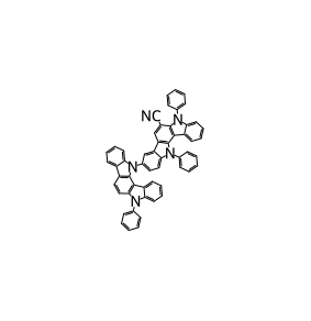 N#Cc1cc2c3cc(-n4c5ccccc5c5ccc6c(c7ccccc7n6-c6ccccc6)c54)ccc3n(-c3ccccc3)c2c2c3ccccc3n(-c3ccccc3)c12